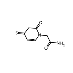 NC(=O)CN1C=CC(=S)CC1=O